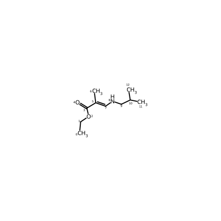 CCOC(=O)C(C)=CNCC(C)C